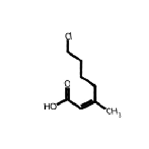 CC(=CC(=O)O)CCCCCl